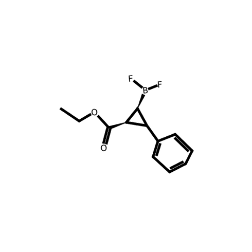 CCOC(=O)[C@@H]1C(c2ccccc2)[C@@H]1B(F)F